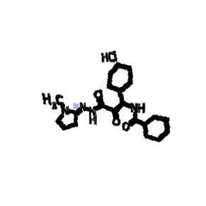 CN1CCC/C1=N\NC(=O)C(=O)C(NC(=O)C1CCCCC1)C1CCCCC1.Cl